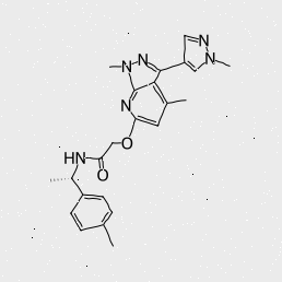 Cc1ccc([C@H](C)NC(=O)COc2cc(C)c3c(-c4cnn(C)c4)nn(C)c3n2)cc1